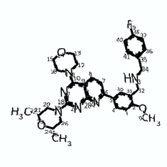 COc1ccc(-c2ccc3c(N4CCOCC4)nc(N4C[C@@H](C)O[C@@H](C)C4)nc3n2)cc1CNCc1ccc(F)cc1